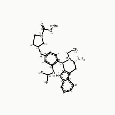 C[C@@H]1Cc2c([nH]c3ccccc23)[C@@H](c2ccc(N[C@H]3CCN(C(=O)OC(C)(C)C)C3)cc2OC(F)F)N1CC(F)(F)F